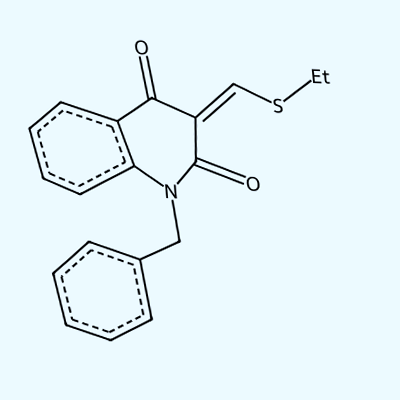 CCSC=C1C(=O)c2ccccc2N(Cc2ccccc2)C1=O